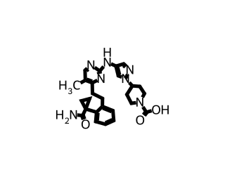 Cc1cnc(Nc2cnn(C3CCN(C(=O)O)CC3)c2)nc1CCc1ccccc1C1(C(N)=O)CC1